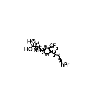 CCCC#CCCOc1ccc(CCC(N)(CO)CO)cc1C(F)(F)F